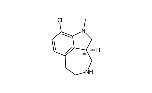 CN1C[C@H]2CNCCc3ccc(Cl)c1c32